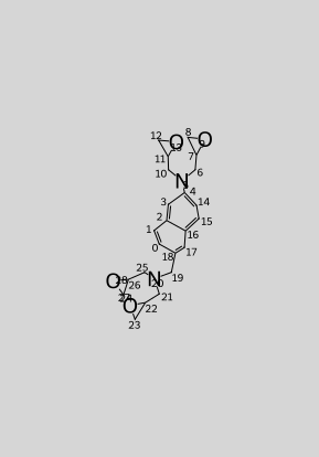 c1cc2cc(N(CC3CO3)CC3CO3)ccc2cc1CN(CC1CO1)CC1CO1